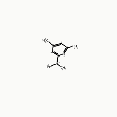 Cc1cc(C)nc(N(C)C(C)C)c1